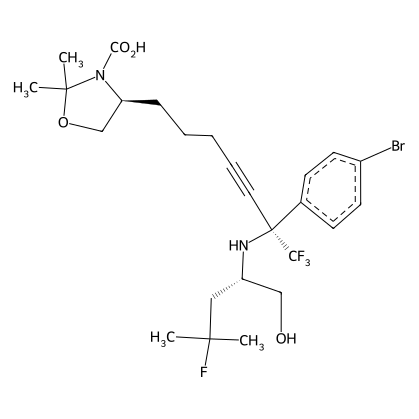 CC(C)(F)C[C@@H](CO)N[C@@](C#CCCC[C@H]1COC(C)(C)N1C(=O)O)(c1ccc(Br)cc1)C(F)(F)F